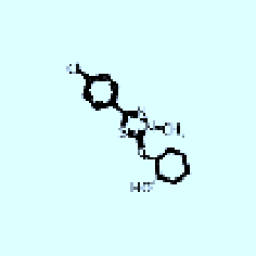 Cn1nc(-c2ccc(Cl)cc2)s/c1=N/[C@H]1CCCC[C@@H]1O